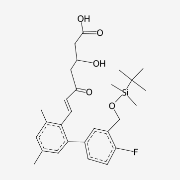 Cc1cc(C)c(/C=C/C(=O)CC(O)CC(=O)O)c(-c2ccc(F)c(CO[Si](C)(C)C(C)(C)C)c2)c1